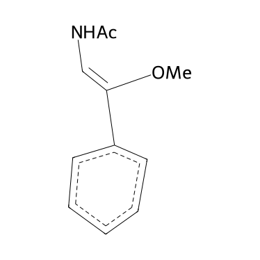 COC(=CNC(C)=O)c1ccccc1